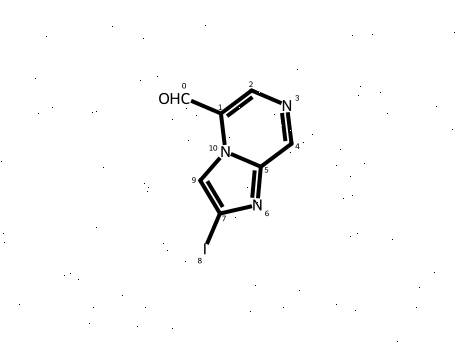 O=Cc1cncc2nc(I)cn12